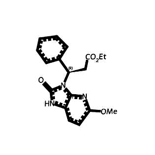 CCOC(=O)C[C@H](c1ccccc1)n1c(=O)[nH]c2ccc(OC)nc21